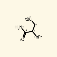 CCCC(CC(C)(C)C)C(N)=O